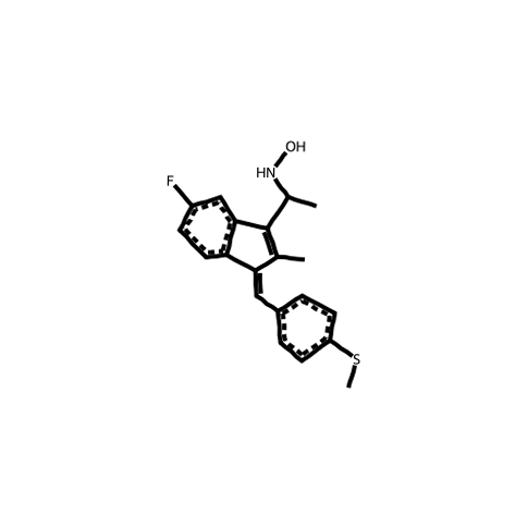 CSc1ccc(C=C2C(C)=C(C(C)NO)c3cc(F)ccc32)cc1